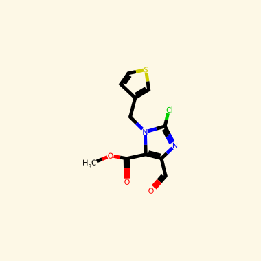 COC(=O)c1c(C=O)nc(Cl)n1Cc1ccsc1